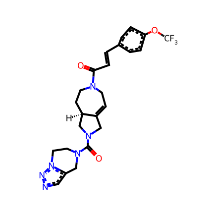 O=C(C=Cc1ccc(OC(F)(F)F)cc1)N1CC=C2CN(C(=O)N3CCn4nncc4C3)C[C@H]2CC1